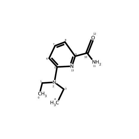 CCN(CC)c1cc[c]c(C(N)=O)n1